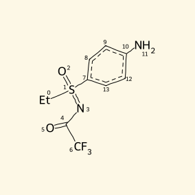 CCS(=O)(=NC(=O)C(F)(F)F)c1ccc(N)cc1